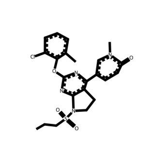 CCCS(=O)(=O)N1CCc2c(-c3ccc(=O)n(C)c3)nc(Oc3c(C)cccc3Cl)nc21